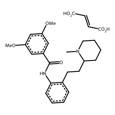 COc1cc(OC)cc(C(=O)Nc2ccccc2CCC2CCCCN2C)c1.O=C(O)C=CC(=O)O